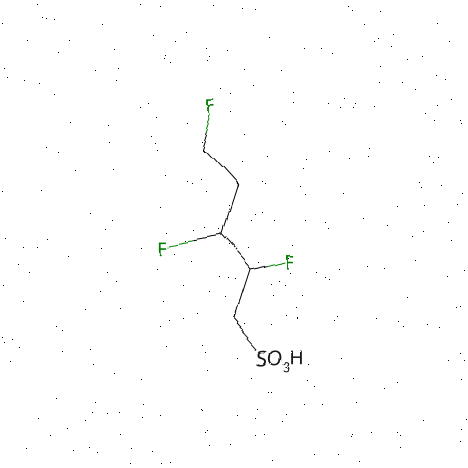 O=S(=O)(O)CC(F)C(F)CCF